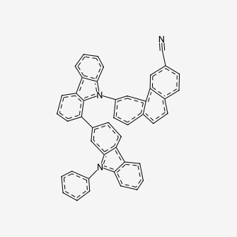 N#Cc1ccc2ccc3ccc(-n4c5ccccc5c5cccc(-c6ccc7c8ccccc8n(-c8ccccc8)c7c6)c54)cc3c2c1